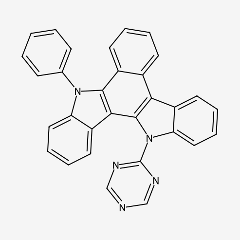 c1ccc(-n2c3ccccc3c3c2c2ccccc2c2c4ccccc4n(-c4ncncn4)c23)cc1